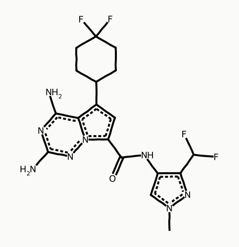 Cn1cc(NC(=O)c2cc(C3CCC(F)(F)CC3)c3c(N)nc(N)nn23)c(C(F)F)n1